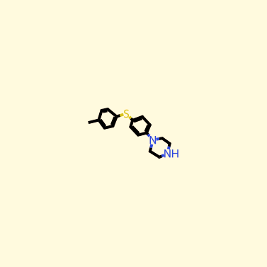 Cc1ccc(Sc2ccc(N3CCNCC3)cc2)cc1